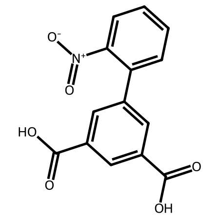 O=C(O)c1cc(C(=O)O)cc(-c2ccccc2[N+](=O)[O-])c1